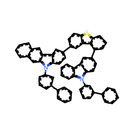 c1ccc(-c2cccc(-n3c4ccccc4c4cc(-c5cccc6sc7ccc(-c8ccc9c(c8)c8cc%10ccccc%10cc8n9-c8cccc(-c9ccccc9)c8)cc7c56)ccc43)c2)cc1